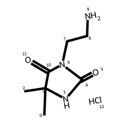 CC1(C)NC(=O)N(CCN)C1=O.Cl